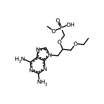 CCOCC(Cn1cnc2c(N)nc(N)nc21)OCP(=O)(O)OC